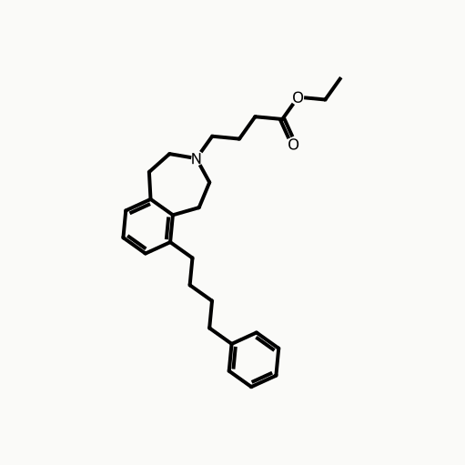 CCOC(=O)CCCN1CCc2cccc(CCCCc3ccccc3)c2CC1